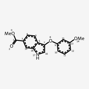 COC(=O)c1ccc2c(Oc3cccc(OC)c3)c[nH]c2c1